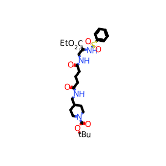 CCOC(=O)[C@H](CNC(=O)CCCC(=O)NCC1CCN(C(=O)OC(C)(C)C)CC1)NS(=O)(=O)c1ccccc1